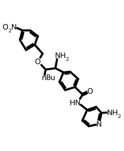 CCCCC(OCc1ccc([N+](=O)[O-])cc1)C(N)c1ccc(C(=O)Nc2ccnc(N)c2)cc1